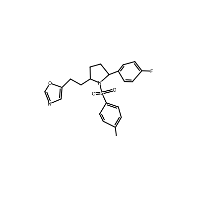 Cc1ccc(S(=O)(=O)N2C(CCc3cnco3)CCC2c2ccc(F)cc2)cc1